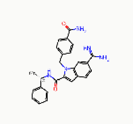 CC(C)[C@H](NC(=O)c1cc2ccc(C(=N)N)cc2n1Cc1ccc(C(N)=O)cc1)c1ccccc1